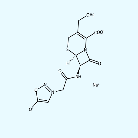 CC(=O)OCC1=C(C(=O)[O-])N2C(=O)[C@@H](NC(=O)C[n+]3cc([O-])on3)[C@H]2SC1.[Na+]